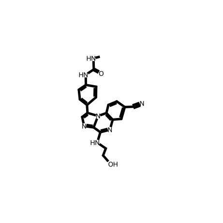 CNC(=O)Nc1ccc(-c2cnc3c(NCCO)nc4cc(C#N)ccc4n23)cc1